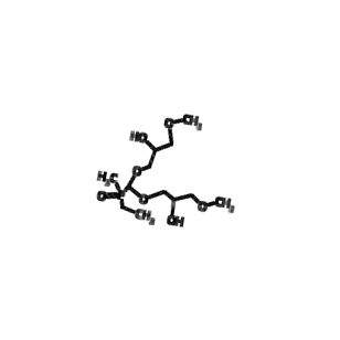 CCP(C)(=O)C(OCC(O)COC)OCC(O)COC